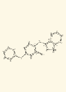 O=c1[nH]c(Cc2ccccc2)cnc1Cc1c[nH]c2ccccc12